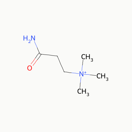 C[N+](C)(C)CCC(N)=O